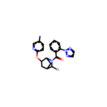 CCC1C2CC(Oc3ccc(C)cn3)C(C2)N1C(=O)c1ccccc1-n1nccn1